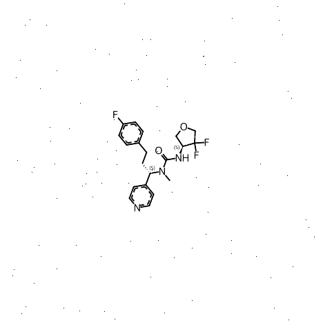 CN(C(=O)N[C@H]1COCC1(F)F)[C@@H](CCc1ccc(F)cc1)c1ccncc1